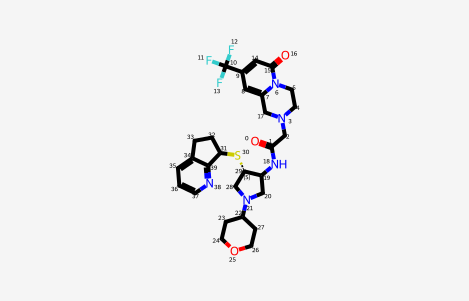 O=C(CN1CCn2c(cc(C(F)(F)F)cc2=O)C1)NC1CN(C2CCOCC2)C[C@@H]1SC1CCc2cccnc21